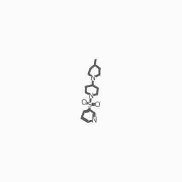 CC1CCN(C2CCN(S(=O)(=O)c3cccnc3)CC2)CC1